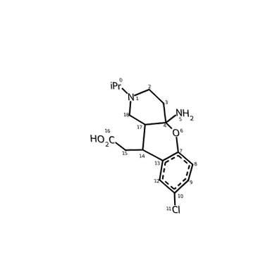 CC(C)N1CCC2(N)Oc3ccc(Cl)cc3C(CC(=O)O)C2C1